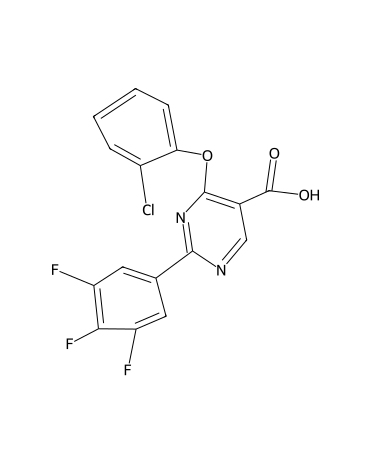 O=C(O)c1cnc(-c2cc(F)c(F)c(F)c2)nc1Oc1ccccc1Cl